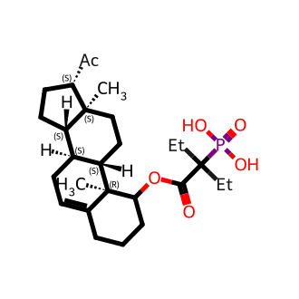 CCC(CC)(C(=O)OC1CCCC2=CC[C@H]3[C@@H]4CC[C@H](C(C)=O)[C@@]4(C)CC[C@@H]3[C@]21C)P(=O)(O)O